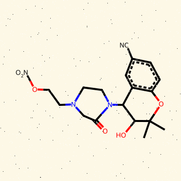 CC1(C)Oc2ccc(C#N)cc2C(N2CCN(CCO[N+](=O)[O-])CC2=O)C1O